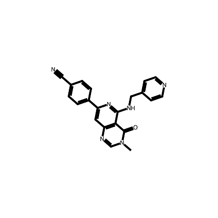 Cn1cnc2cc(-c3ccc(C#N)cc3)nc(NCc3ccncc3)c2c1=O